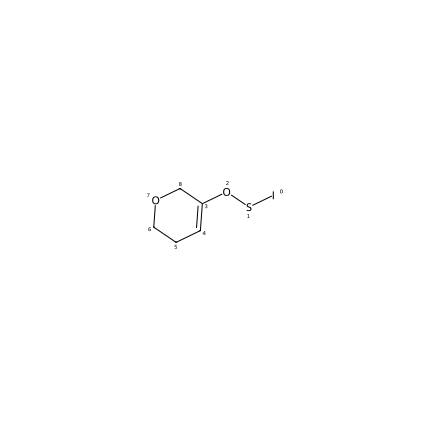 ISOC1=CCCOC1